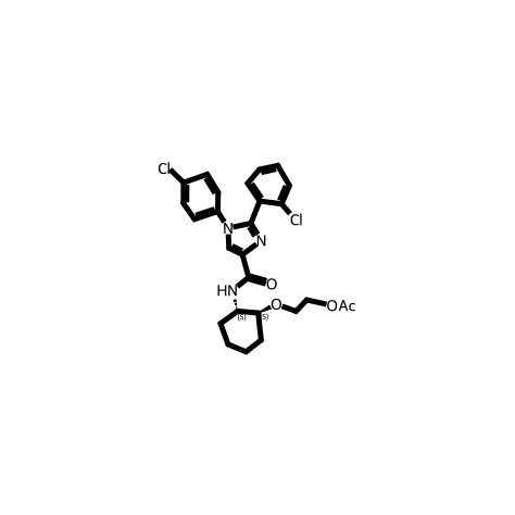 CC(=O)OCCO[C@H]1CCCC[C@@H]1NC(=O)c1cn(-c2ccc(Cl)cc2)c(-c2ccccc2Cl)n1